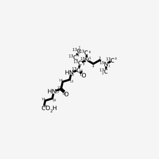 [13CH3][15N]([13CH3])CC[15N]1[13CH2][13CH2][13CH2][13CH]1[13C](=O)NCCC(=O)NCCC(=O)O